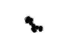 c1ccc2c(-c3ccc(-n4c5ccc(-c6ccc7c(c6)c6ccccc6n7-c6cccc7oc8ccccc8c67)cc5c5ccc6ccccc6c54)cc3)cccc2c1